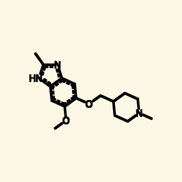 COc1cc2[nH]c(C)nc2cc1OCC1CCN(C)CC1